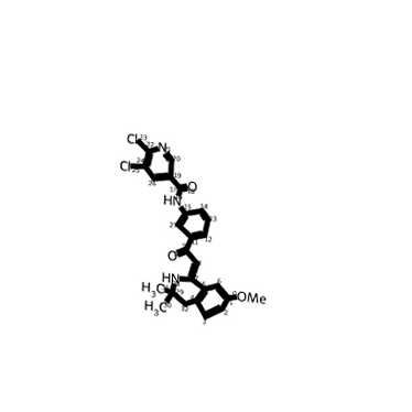 COc1ccc2c(c1)/C(=C/C(=O)c1cccc(NC(=O)c3cnc(Cl)c(Cl)c3)c1)NC(C)(C)C2